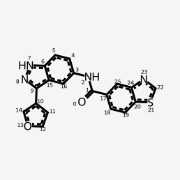 O=C(Nc1ccc2[nH]nc(-c3ccoc3)c2c1)c1ccc2scnc2c1